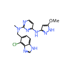 COc1cc(Nc2ccnc(N(C)Cc3ccc4[nH]cnc4c3Cl)n2)n[nH]1